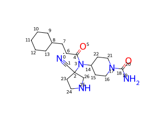 N#CC1(N(C(=O)[CH]CC2CCCCC2)C2CCN(C(N)=O)CC2)CCNC1